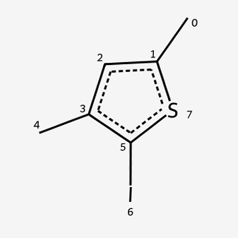 Cc1cc(C)c(I)s1